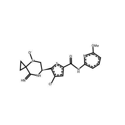 COc1cccc(NC(=O)c2cc(Cl)c([C@@H]3C[S+]([O-])C4(CC4)C(=N)N3)s2)n1